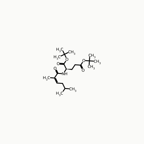 CC(=CCC(C)C)C(=O)N[C@H](CCC(=O)OC(C)(C)C)C(=O)OC(C)(C)C